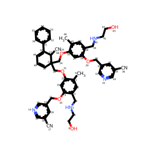 Cc1cc(CNCCO)c(OCc2cncc(C#N)c2)cc1OCC1(COc2cc(OCc3cncc(C#N)c3)c(CNCCO)cc2C)C=CC=C(c2ccccc2)C1C#N